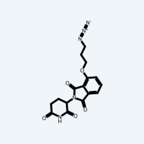 [N-]=[N+]=NCCCOc1cccc2c1C(=O)N(C1CCC(=O)NC1=O)C2=O